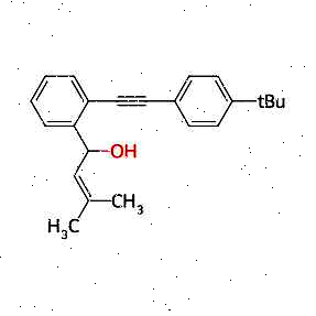 CC(C)=CC(O)c1ccccc1C#Cc1ccc(C(C)(C)C)cc1